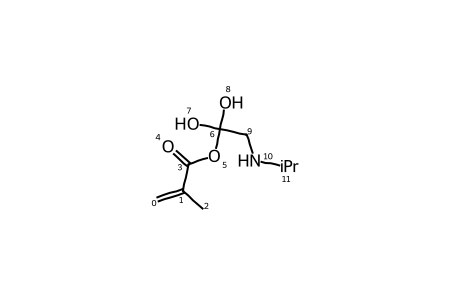 C=C(C)C(=O)OC(O)(O)CNC(C)C